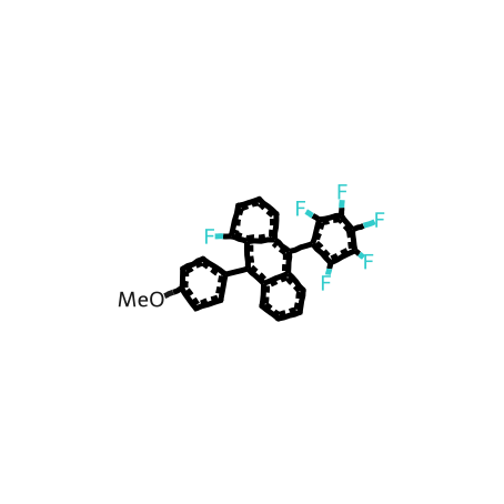 COc1ccc(-c2c3ccccc3c(-c3c(F)c(F)c(F)c(F)c3F)c3cccc(F)c23)cc1